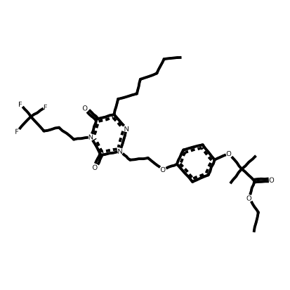 CCCCCCc1nn(CCOc2ccc(OC(C)(C)C(=O)OCC)cc2)c(=O)n(CCCC(F)(F)F)c1=O